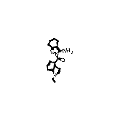 CCn1ccc2c(C(=O)n3nc4c(c3N)CCCC4)cccc21